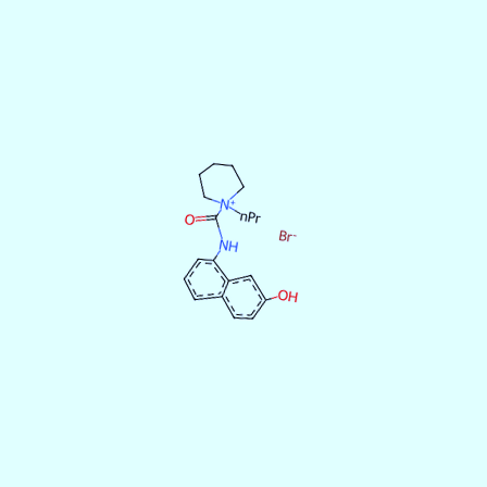 CCC[N+]1(C(=O)Nc2cccc3ccc(O)cc23)CCCCC1.[Br-]